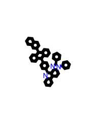 c1ccc(-c2nc3c4c(-c5ccc(-c6c7ccccc7c(-c7ccc8ccccc8c7)c7ccccc67)cc5)nc5ccccc5c4ccc3n2-c2ccccc2)cc1